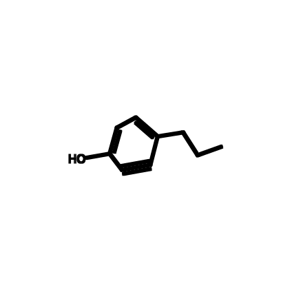 CCCc1c#cc(O)cc1